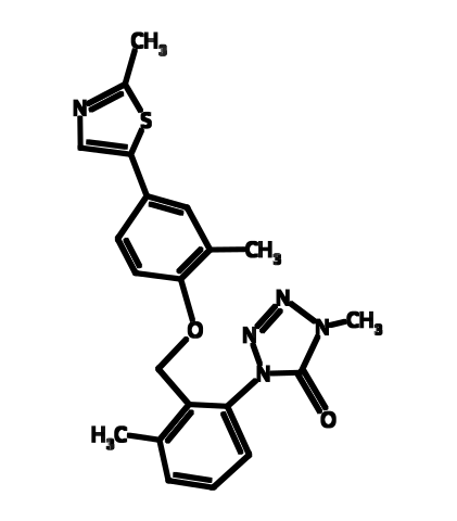 Cc1ncc(-c2ccc(OCc3c(C)cccc3-n3nnn(C)c3=O)c(C)c2)s1